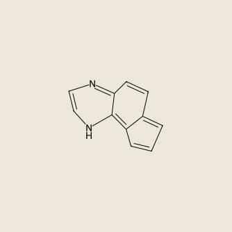 c1cc2ccc3ncc[nH]c3c2c1